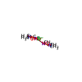 CCN(CC)c1ccc(/C=C/c2cc[n+](CCCCCCCCCC[n+]3ccc(/C=C/c4ccc(N(CC)CC)cc4O)c(C)c3)cc2C)c(O)c1.[Br-].[Br-]